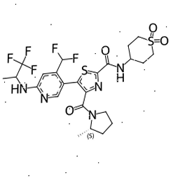 CC(Nc1cc(C(F)F)c(-c2sc(C(=O)NC3CCS(=O)(=O)CC3)nc2C(=O)N2CCC[C@@H]2C)cn1)C(F)(F)F